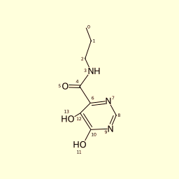 CCCNC(=O)c1ncnc(O)c1O